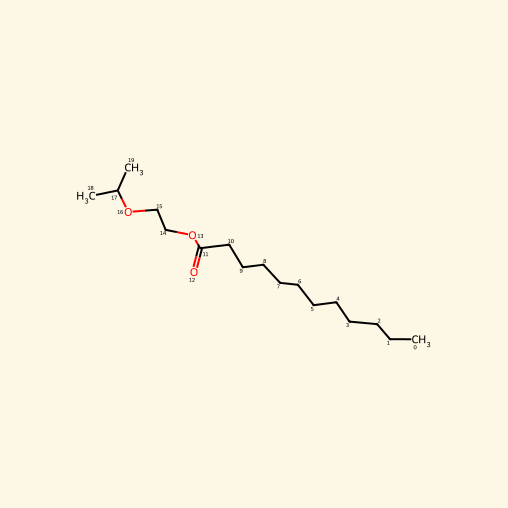 CCCCCCCCCCCC(=O)OCCOC(C)C